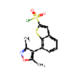 Cc1noc(C)c1-c1cccc2cc(S(=O)(=O)Cl)sc12